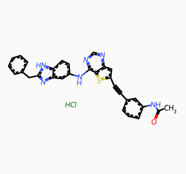 CC(=O)Nc1cccc(C#Cc2cc3ncnc(Nc4ccc5[nH]c(Cc6ccccc6)nc5c4)c3s2)c1.Cl